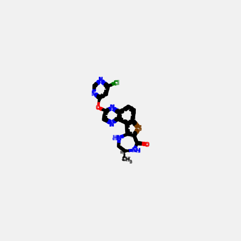 C[C@@H]1CNc2c(sc3ccc4nc(Oc5cc(Cl)ncn5)cnc4c23)C(=O)N1